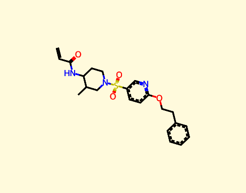 C=CC(=O)NC1CCN(S(=O)(=O)c2ccc(OCCc3ccccc3)nc2)CC1C